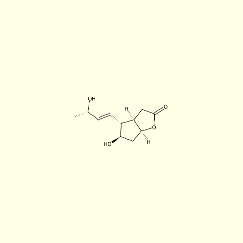 C[C@H](O)/C=C/[C@@H]1[C@H]2CC(=O)O[C@H]2C[C@H]1O